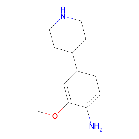 COC1=CC(C2CCNCC2)CC=C1N